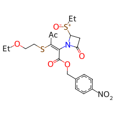 CCOCCSC(C(C)=O)=C(C(=O)OCc1ccc([N+](=O)[O-])cc1)N1C(=O)CC1[S+]([O-])CC